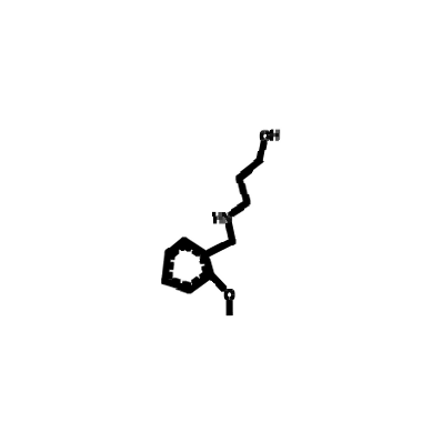 COc1ccccc1CNCCCO